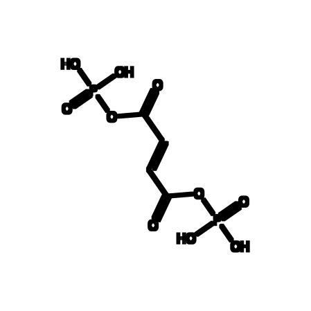 O=C(/C=C/C(=O)OP(=O)(O)O)OP(=O)(O)O